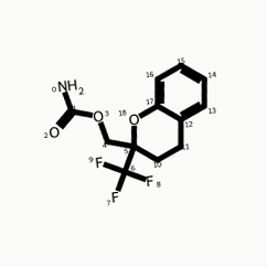 NC(=O)OCC1(C(F)(F)F)CCc2ccccc2O1